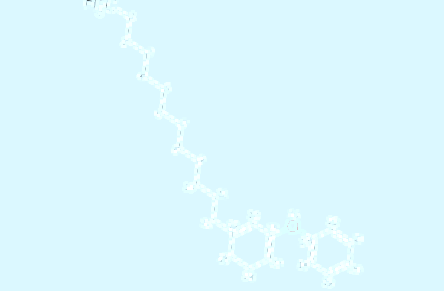 CCCCCCCCCCCCCC1=CC(Oc2cc[c]cc2)=CC[CH]1